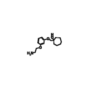 NCCOc1cccc(OCC2(O)CCCCCC2)c1